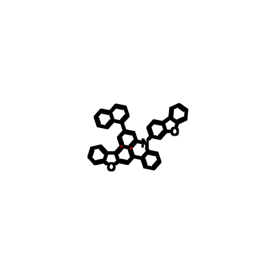 c1cc(-c2cccc3ccccc23)cc(N(c2ccc3c(c2)oc2ccccc23)c2ccccc2-c2ccc3c(c2)oc2ccccc23)c1